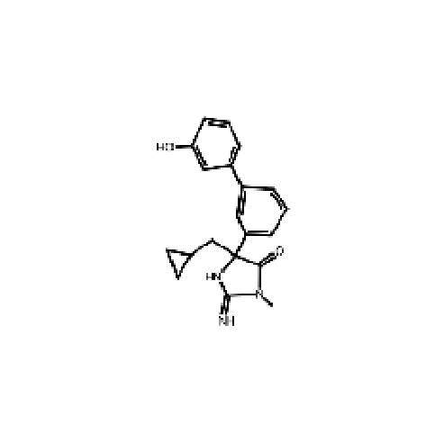 CN1C(=N)NC(CC2CC2)(c2cccc(-c3cccc(O)c3)c2)C1=O